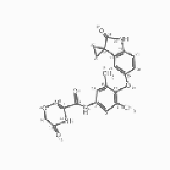 Cc1cc(NC(=O)C2=NOCC(=O)N2)cc(C)c1Oc1ccc2c(c1)C1(CC1)C(=O)N2